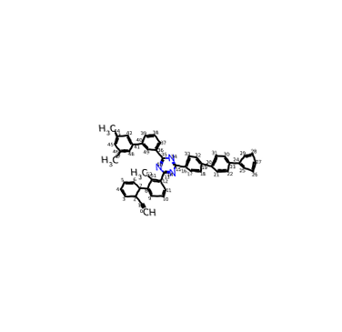 C#CC1C=CC=CC1c1cccc(-c2nc(-c3ccc(-c4ccc(-c5ccccc5)cc4)cc3)nc(-c3cccc(-c4cc(C)cc(C)c4)c3)n2)c1C